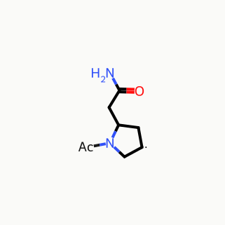 CC(=O)N1C[CH]CC1CC(N)=O